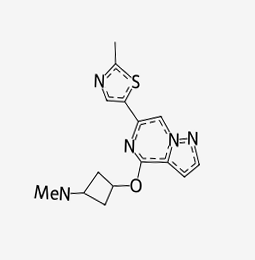 CNC1CC(Oc2nc(-c3cnc(C)s3)cn3nccc23)C1